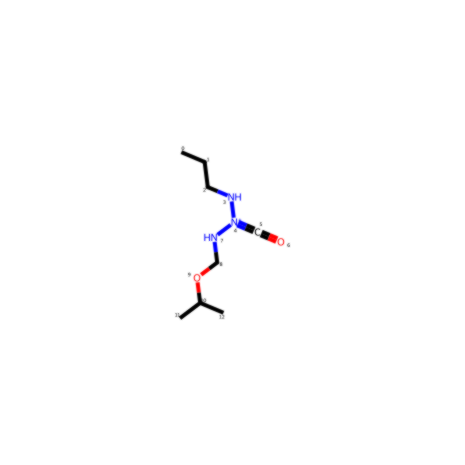 CCCN[N+](=C=O)NCOC(C)C